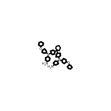 Nc1ccc(N(c2ccc(Oc3ccccc3)cc2)c2ccc(C3(c4ccc(N(c5ccc(N)cc5)c5ccc(Oc6ccccc6)cc5)cc4)CCCCC3)cc2)cc1